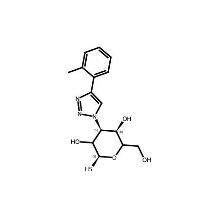 Cc1ccccc1-c1cn([C@@H]2C(O)[C@H](S)OC(CO)[C@@H]2O)nn1